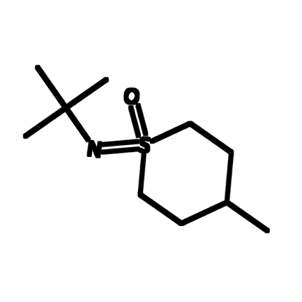 CC1CCS(=O)(=NC(C)(C)C)CC1